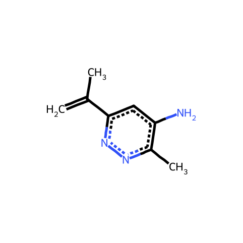 C=C(C)c1cc(N)c(C)nn1